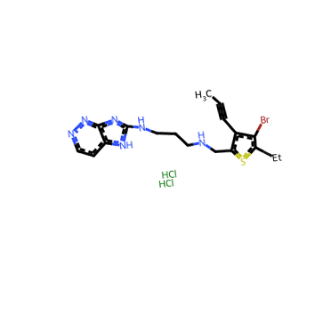 CC#Cc1c(CNCCCNc2nc3nnccc3[nH]2)sc(CC)c1Br.Cl.Cl